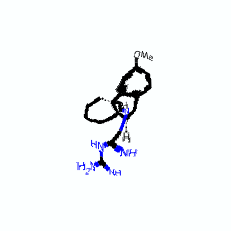 COc1ccc2c(c1)[C@]13CCCC[C@@H]1[C@H](C2)N(C(=N)NC(=N)N)CC3